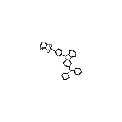 c1ccc(N(c2ccccc2)c2ccc3c(c2)c2ccccc2n3-c2ccc(-c3nc4cccnc4o3)cc2)cc1